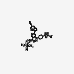 CC(C)(O)[C@H](F)CNC(=O)c1cnc(-c2ccc3cc(C#N)cnn23)cc1NC1CCC(c2nnc(C3CC3)o2)CC1